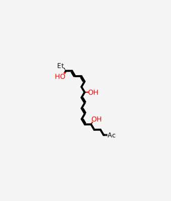 CC[C@@H](O)/C=C/C=C\C[C@@H](O)/C=C/C=C/C=C\[C@@H](O)CCCC(C)=O